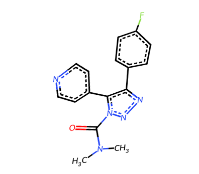 CN(C)C(=O)n1nnc(-c2ccc(F)cc2)c1-c1ccncc1